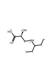 CCC(CC)NC[C@H](O)C(=O)O